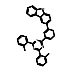 Cc1ccccc1-c1nc(C2=CCCC(c3ccc4[nH]c5ccccc5c4c3)=C2)nc(-c2ccccc2C)n1